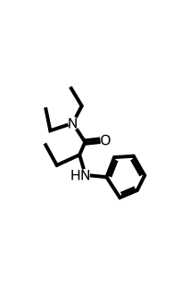 CCC(Nc1ccccc1)C(=O)N(CC)CC